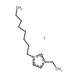 CCCCCCCC[n+]1ccn(CC)c1.[I-]